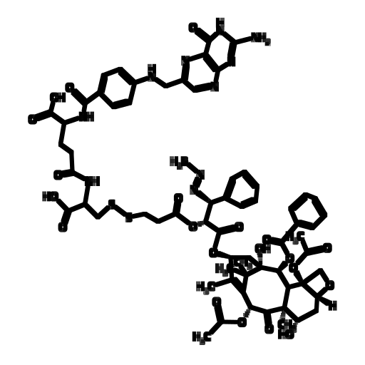 BN=N[C@@H](c1ccccc1)[C@@H](OC(=O)CCSSCC(NC(=O)CCC(NC(=O)c1ccc(NCc2cnc3nc(N)[nH]c(=O)c3n2)cc1)C(=O)O)C(=O)O)C(=O)O[C@H]1C[C@@]2(O)[C@@H](OC(=O)c3ccccc3)C3[C@](C)(C(=O)[C@H](OC(C)=O)C(=C1C)C2(C)C)[C@@H](O)C[C@H]1OC[C@@]31OC(C)=O